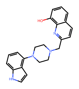 Oc1cccc2ccc(CN3CCN(c4cccc5[nH]ccc45)CC3)nc12